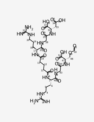 N=C(N)NCCC[C@H](NC(=O)CCCC(=O)N[C@@H](CCCNC(=N)N)C(=O)NCC(=O)N[C@@H](CC(=O)O)C(=O)O)C(=O)NCC(=O)N[C@@H](COC=O)C(=O)O